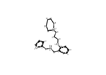 c1coc(CNCc2ccccc2OCCCN2CCCCC2)c1